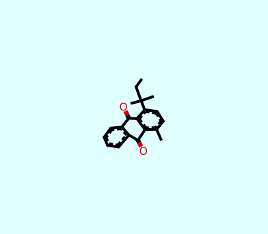 CCC(C)(C)c1ccc(C)c2c1C(=O)c1ccccc1C2=O